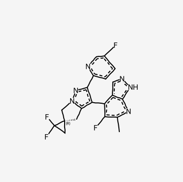 Cc1nc2[nH]ncc2c(-c2c(-c3ccc(F)cn3)nn3c2C[C@]2(C3)CC2(F)F)c1F